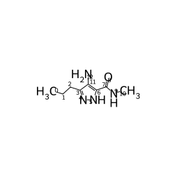 CCCc1n[nH]c(C(=O)NC)c1N